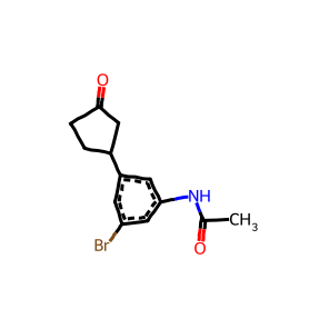 CC(=O)Nc1cc(Br)cc(C2CCC(=O)C2)c1